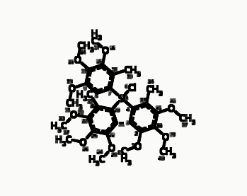 COc1cc([Si](Cl)(c2cc(OC)c(OC)c(OC)c2C)c2cc(OC)c(OC)c(OC)c2C)c(C)c(OC)c1OC